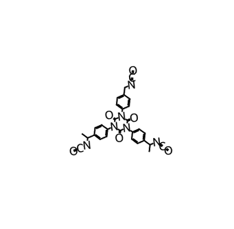 CC(N=C=O)c1ccc(-n2c(=O)n(-c3ccc(CN=C=O)cc3)c(=O)n(-c3ccc(C(C)N=C=O)cc3)c2=O)cc1